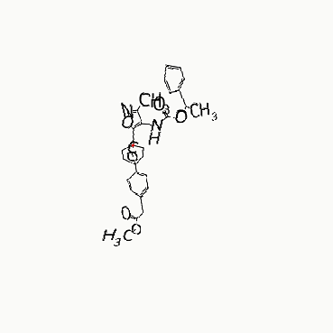 COC(=O)Cc1ccc(C23CCC(c4onc(C)c4NC(=O)O[C@H](C)c4ccccc4)(CC2)CO3)cc1